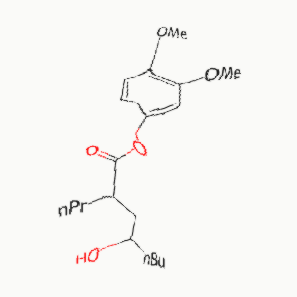 CCCCC(O)CC(CCC)C(=O)Oc1ccc(OC)c(OC)c1